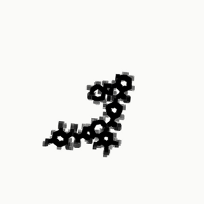 O=C(Nc1c(F)cc(F)cc1Cl)c1cc2c(s1)-c1c(cc(F)c(F)c1F)N(C(=O)c1ccc(NC(=O)c3cccnc3N3CC4(CCOCC4)C3)cc1)CC2